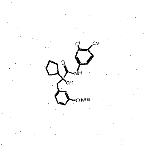 COc1cccc(CC(O)(C(=O)Nc2ccc(C#N)c(Cl)c2)C2CCCC2)c1